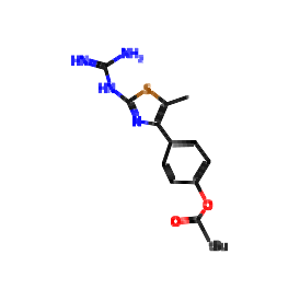 Cc1sc(NC(=N)N)nc1-c1ccc(OC(=O)C(C)(C)C)cc1